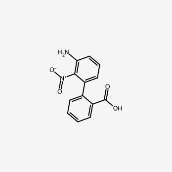 Nc1cccc(-c2ccccc2C(=O)O)c1[N+](=O)[O-]